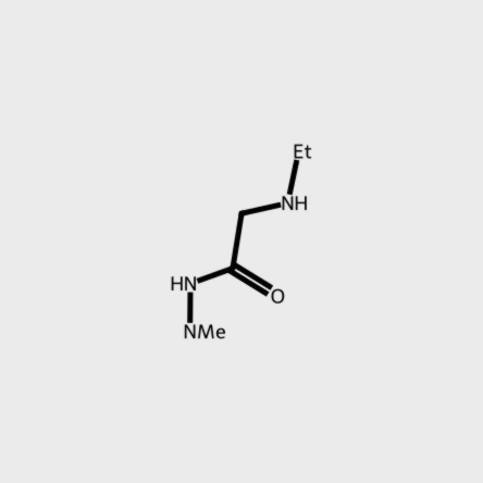 CCNCC(=O)NNC